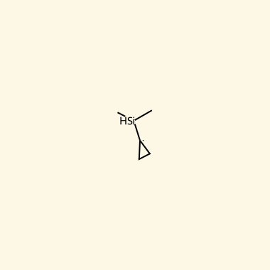 C[SiH](C)[C]1CC1